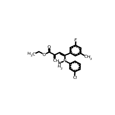 C=C(/C=C(/c1cc(C)cc(F)c1)N(N)c1cccc(Cl)c1)C(=O)OCC